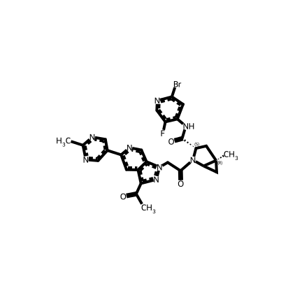 CC(=O)c1nn(CC(=O)N2C3C[C@]3(C)C[C@H]2C(=O)Nc2cc(Br)ncc2F)c2cnc(-c3cnc(C)nc3)cc12